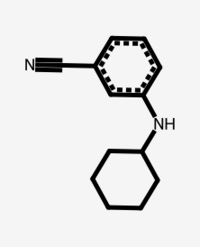 N#Cc1cccc(NC2CCCCC2)c1